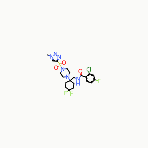 Cn1cc(S(=O)(=O)N2CCN(C3(CNC(=O)c4ccc(F)cc4Cl)CCC(F)(F)CC3)CC2)nn1